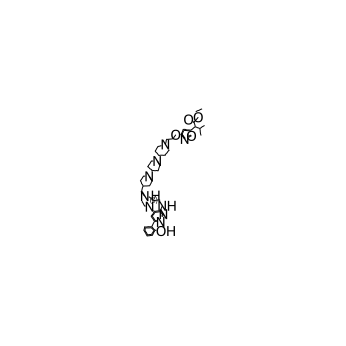 CCOC(=O)C(c1cc(OCCN2CCC(N3CCC(N4CCC(CN5CCN6c7cc(-c8ccccc8O)nnc7NC[C@H]6C5)CC4)CC3)CC2)no1)C(C)C